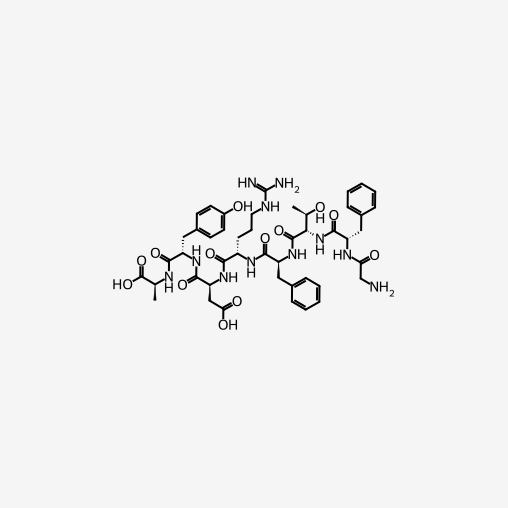 C[C@H](NC(=O)[C@H](Cc1ccc(O)cc1)NC(=O)[C@H](CC(=O)O)NC(=O)[C@H](CCCNC(=N)N)NC(=O)[C@H](Cc1ccccc1)NC(=O)[C@@H](NC(=O)[C@H](Cc1ccccc1)NC(=O)CN)[C@@H](C)O)C(=O)O